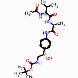 CC(=O)N[C@H](C(=O)N[C@@H](C)C(=O)Nc1ccc([C@H](O)CNC(=O)OC(C)(C)C)cc1)C(C)C